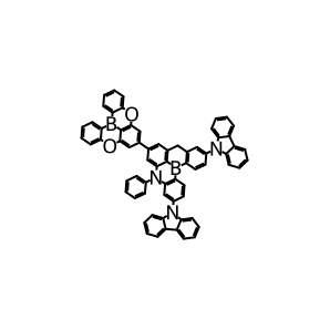 c1ccc(N2c3cc(-n4c5ccccc5c5ccccc54)ccc3B3c4ccc(-n5c6ccccc6c6ccccc65)cc4Cc4cc(-c5cc6c7c(c5)Oc5ccccc5B7c5ccccc5O6)cc2c43)cc1